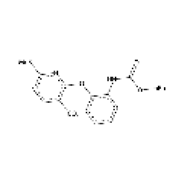 CCCCOC(=O)Nc1ccccc1Oc1nc(SC)ncc1C(=O)O